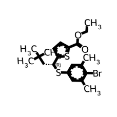 CCOC(=O)c1ccc([C@@H](CC(C)(C)C)Sc2cc(C)c(Br)c(C)c2)s1